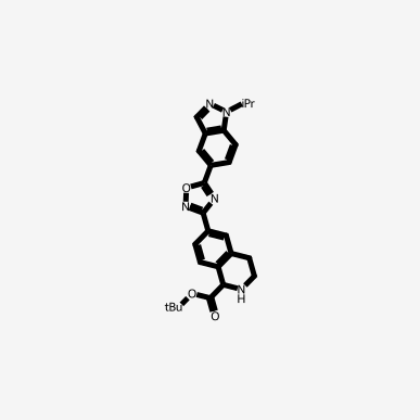 CC(C)n1ncc2cc(-c3nc(-c4ccc5c(c4)CCNC5C(=O)OC(C)(C)C)no3)ccc21